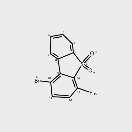 O=S1(=O)c2ccccc2-c2c(Br)ccc(F)c21